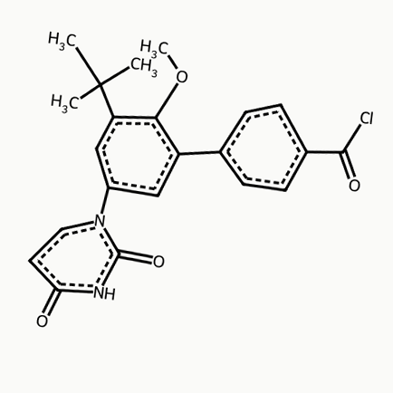 COc1c(-c2ccc(C(=O)Cl)cc2)cc(-n2ccc(=O)[nH]c2=O)cc1C(C)(C)C